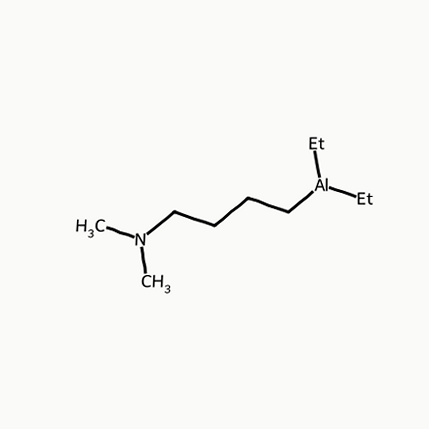 C[CH2][Al]([CH2]C)[CH2]CCCN(C)C